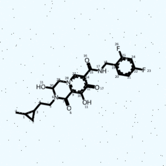 CC1CC1CCN1C(=O)c2c(O)c(=O)c(C(=O)NCc3ccc(F)cc3F)cn2CC1O